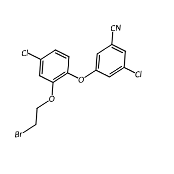 N#Cc1cc(Cl)cc(Oc2ccc(Cl)cc2OCCBr)c1